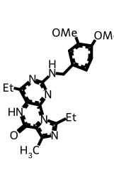 CCc1nc(NCc2ccc(OC)c(OC)c2)nc2c1[nH]c(=O)c1c(C)nc(CC)n12